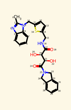 Cc1nc2ccccc2n1Cc1ccc(CNC(=O)[C@H](O)[C@@H](O)C(=O)N2Cc3ccccc3C2)s1